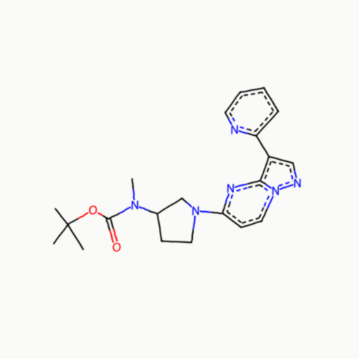 CN(C(=O)OC(C)(C)C)C1CCN(c2ccn3ncc(-c4ccccn4)c3n2)C1